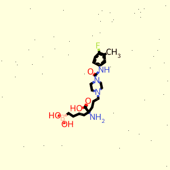 Cc1cc(NC(=O)N2CCN(CCCC(N)(CCCCB(O)O)C(=O)O)CC2)ccc1F